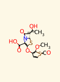 COC1=C(OC2=C(C(=O)O)N3C(=O)[C@H]([C@@H](C)O)C3S2)C=CS1=C=O